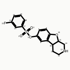 O=S(=O)(Oc1ccc2c(c1)C1CCNCC1O2)c1cccc(F)c1